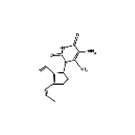 C=CC1=C(/C=C\C)CCC1n1c(N)c(N)c(=O)[nH]c1=O